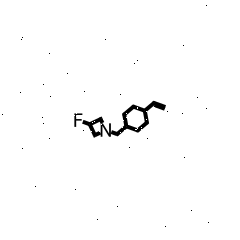 C=CC1CCC(CN2CC(F)C2)CC1